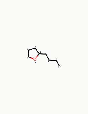 [CH2]CCCC1CCCO1